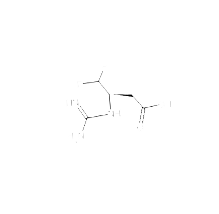 N=C(N)N[C@H](CC(=O)O)C(F)F